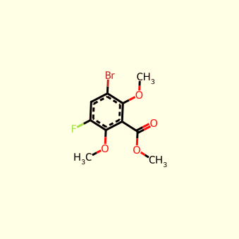 COC(=O)c1c(OC)c(F)cc(Br)c1OC